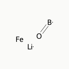 [B]=O.[Fe].[Li]